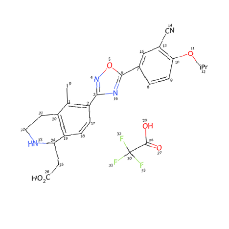 Cc1c(-c2noc(-c3ccc(OC(C)C)c(C#N)c3)n2)ccc2c1CCNC2CC(=O)O.O=C(O)C(F)(F)F